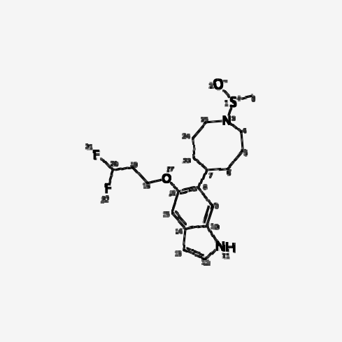 C[S+]([O-])N1CCCC(c2cc3[nH]ccc3cc2OCCC(F)F)CCC1